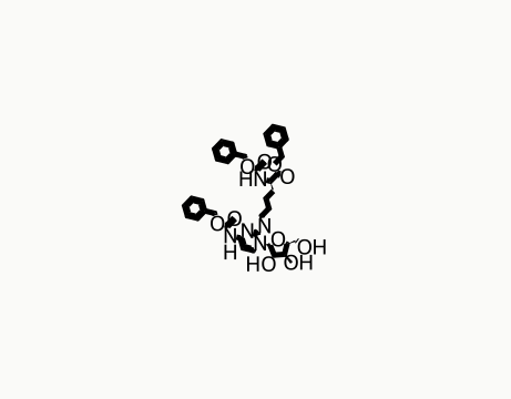 O=C(Nc1ccn([C@@H]2O[C@H](CO)[C@@H](O)[C@H]2O)/c(=N/CCCC[C@H](NC(=O)OCc2ccccc2)C(=O)OCc2ccccc2)n1)OCc1ccccc1